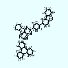 c1ccc2c(c1)-c1nc(-c3ccc(-c4ccc5oc6ccccc6c5c4)cc3)nc3nc(-c4ccc5c6ccccc6c6ccccc6c5c4)nc-2c13